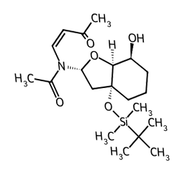 CC(=O)/C=C\N(C(C)=O)[C@H]1C[C@]2(O[Si](C)(C)C(C)(C)C)CCC[C@H](O)[C@@H]2O1